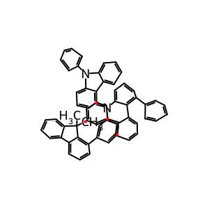 CC1(C)c2ccccc2-c2cccc(-c3cccc(N(c4cccc(-c5ccccc5)c4-c4ccccc4-c4ccccc4)c4cccc5c4c4ccccc4n5-c4ccccc4)c3)c21